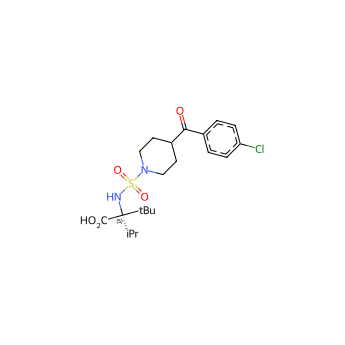 CC(C)[C@@](NS(=O)(=O)N1CCC(C(=O)c2ccc(Cl)cc2)CC1)(C(=O)O)C(C)(C)C